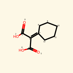 O=C(O)C(C(=O)O)=C1CCCCC1